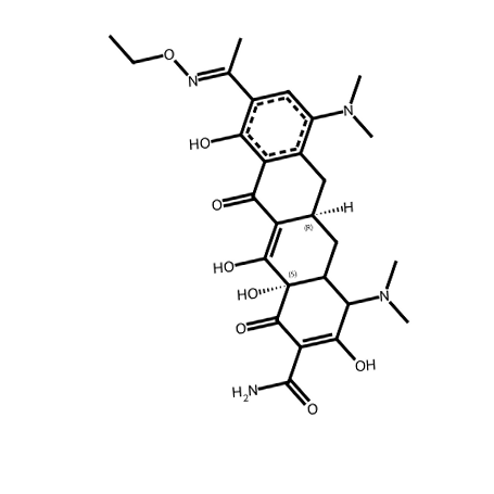 CCON=C(C)c1cc(N(C)C)c2c(c1O)C(=O)C1=C(O)[C@]3(O)C(=O)C(C(N)=O)=C(O)C(N(C)C)C3C[C@@H]1C2